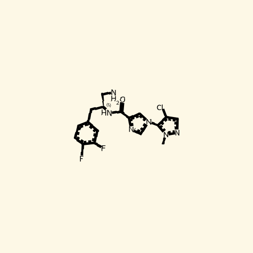 Cn1ncc(Cl)c1-n1cnc(C(=O)N[C@H](CN)Cc2ccc(F)c(F)c2)c1